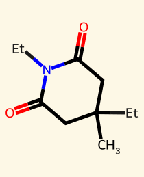 CCN1C(=O)CC(C)(CC)CC1=O